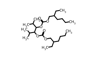 CCCCC(CC)COC(=O)OC(C(C)C)C(OC(=O)OCC(CC)CCCC)C(C)C